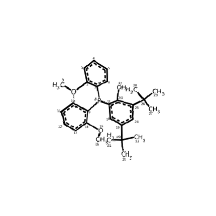 COc1ccccc1P(c1ccccc1OC)c1cc(C(C)(C)C)cc(C(C)(C)C)c1O